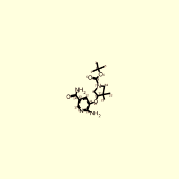 CC(C)(C)OC(=O)N1CC(Oc2cc(C(N)=O)cnc2N)C(C)(C)C1